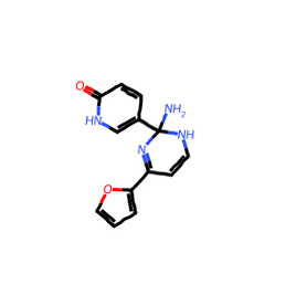 NC1(c2ccc(=O)[nH]c2)N=C(c2ccco2)C=CN1